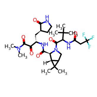 CN(C)C(=O)C(=O)[C@H](C[C@@H]1CCNC1=O)NC(=O)[C@@H]1[C@@H]2C(CN1C(=O)C(NC(=O)CC(F)(F)F)C(C)(C)C)C2(C)C